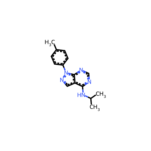 Cc1ccc(-n2ncc3c(NC(C)C)ncnc32)cc1